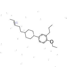 C/C=C/CCC1CCC(c2ccc(OCC)c(CCC)c2)CC1